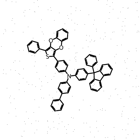 c1ccc(-c2ccc(N(c3ccc(-c4sc(-c5ccccc5)c5c4Oc4ccccc4O5)cc3)c3ccc(C4(c5ccccc5)c5ccccc5-c5ccccc54)cc3)cc2)cc1